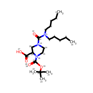 CCCCCN(CCCCC)C(=O)N1CCN(C(=O)OC(C)(C)C)C(C(=O)O)C1